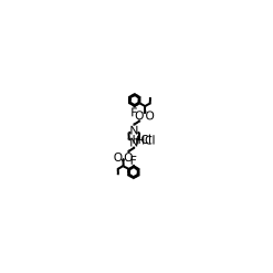 CCC(C(=O)OCCN1CCN(CCOC(=O)C(CC)c2ccccc2F)CC1)c1ccccc1F.Cl.Cl